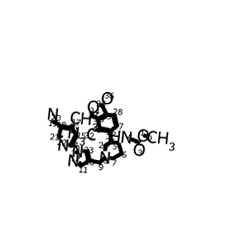 COC(=O)NC1CCN(Cc2cnn(-c3cc(C)c(C#N)cn3)c2)CC1c1ccc2c(c1C)COC2=O